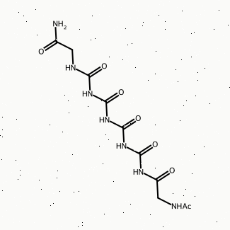 CC(=O)NCC(=O)NC(=O)NC(=O)NC(=O)NC(=O)NCC(N)=O